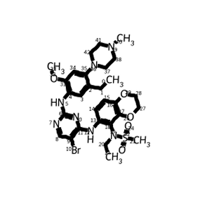 CCc1cc(Nc2ncc(Br)c(Nc3ccc4c(c3N(CC)S(C)(=O)=O)OCCO4)n2)c(OC)cc1N1CCN(C)CC1